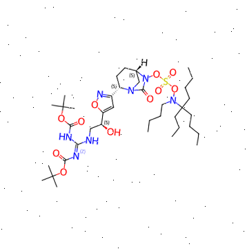 CCCCN(OS(=O)(=O)ON1C(=O)N2C[C@@H]1CC[C@H]2c1cc([C@@H](O)CN/C(=N/C(=O)OC(C)(C)C)NC(=O)OC(C)(C)C)on1)C(CCC)(CCCC)CCCC